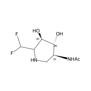 CC(=O)N[C@H]1CNC(C(F)F)[C@@H](O)[C@@H]1O